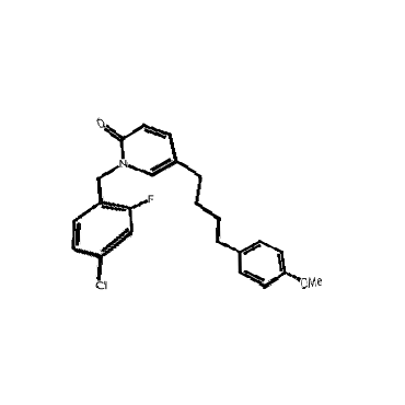 COc1ccc(CCCCc2ccc(=O)n(Cc3ccc(Cl)cc3F)c2)cc1